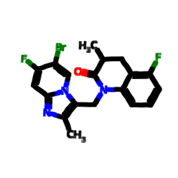 Cc1nc2cc(F)c(Br)cn2c1CN1C(=O)C(C)Cc2c(F)cccc21